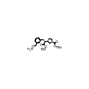 CC(C)(C)OC(=O)[C@@H](Cc1cccc(CON)c1)[C@H]1CCN(C(=O)OC(C)(C)C)C1